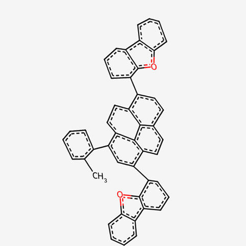 Cc1ccccc1-c1cc(-c2cccc3c2oc2ccccc23)c2ccc3ccc(-c4cccc5c4oc4ccccc45)c4ccc1c2c34